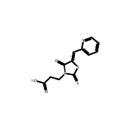 O=C(O)CCN1C(=O)/C(=C/c2ccccn2)SC1=S